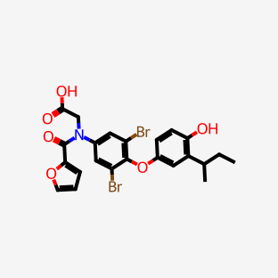 CCC(C)c1cc(Oc2c(Br)cc(N(CC(=O)O)C(=O)c3ccco3)cc2Br)ccc1O